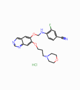 Cl.N#Cc1ccc(NCOc2cc3cncnc3cc2OCCCN2CCOCC2)c(F)c1